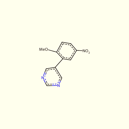 COc1ccc([N+](=O)[O-])cc1-c1cncnc1